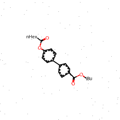 CCCCCCC(=O)Oc1ccc(-c2ccc(C(=O)OC(C)CC)cc2)cc1